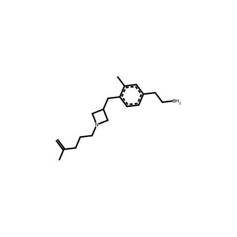 BCCc1ccc(CC2CN(CCCC(=C)C)C2)c(C)c1